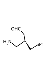 CC(C)C[C@@H](CN)CC=O